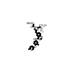 COCC(=O)NCC(=Cc1ccc2ncnc(Nc3ccc(Oc4ccc(C)nc4)c(C)c3)c2c1)SCC(N)C(=O)O